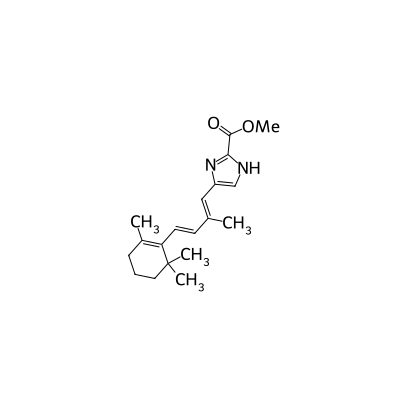 COC(=O)c1nc(C=C(C)C=CC2=C(C)CCCC2(C)C)c[nH]1